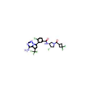 Nc1ncnn2c(-c3cc(C(=O)N[C@@H]4CN(C(=O)C5CC(F)(F)C5)C[C@@H]4F)ccc3F)cc(C(F)(F)F)c12